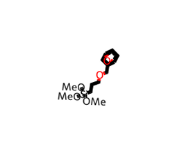 CO[Si](CCCOCc1cc2ccc1o2)(OC)OC